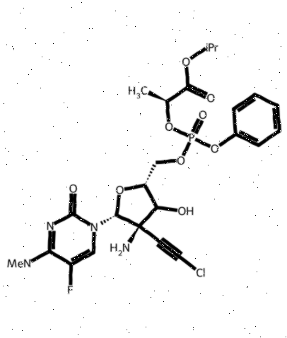 CNc1nc(=O)n([C@@H]2O[C@H](COP(=O)(Oc3ccccc3)O[C@@H](C)C(=O)OC(C)C)C(O)[C@]2(N)C#CCl)cc1F